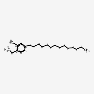 CCCCCCCCCCCCCCc1ccc(CC)c(O)c1